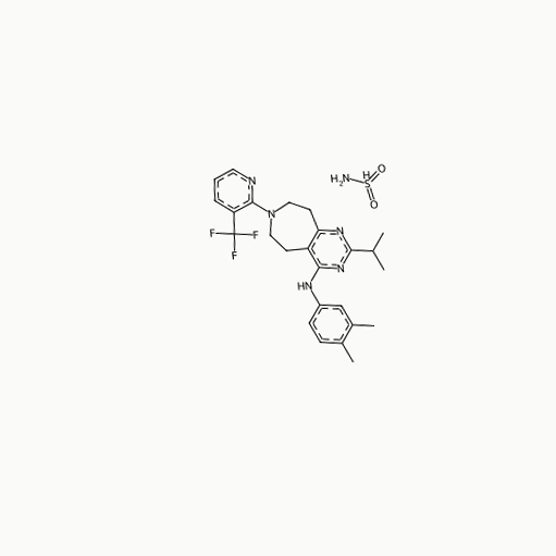 Cc1ccc(Nc2nc(C(C)C)nc3c2CCN(c2ncccc2C(F)(F)F)CC3)cc1C.N[SH](=O)=O